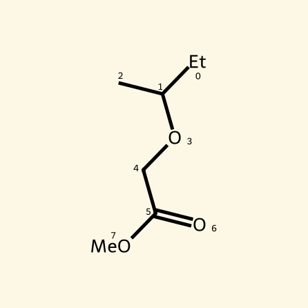 CCC(C)OCC(=O)OC